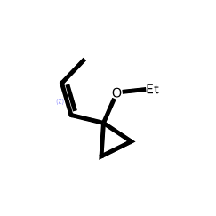 C/C=C\C1(OCC)CC1